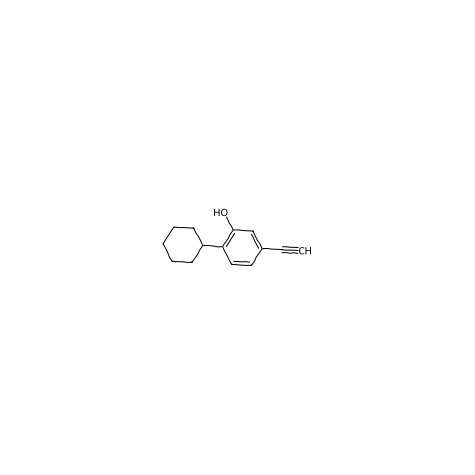 C#Cc1ccc(C2CCCCC2)c(O)c1